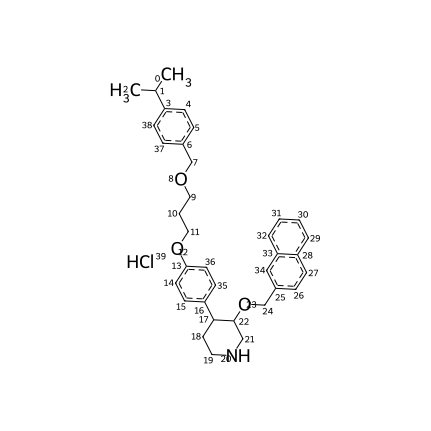 CC(C)c1ccc(COCCCOc2ccc(C3CCNCC3OCc3ccc4ccccc4c3)cc2)cc1.Cl